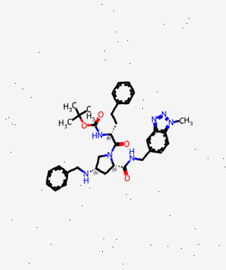 Cn1nnc2cc(CNC(=O)[C@@H]3C[C@H](NCc4ccccc4)CN3C(=O)[C@@H](CCc3ccccc3)NC(=O)OC(C)(C)C)ccc21